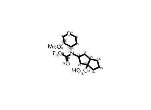 CO[C@@H]1COCC[C@@H]1N(C(=O)C(F)(F)F)C1CC2CCCC2(C(=O)O)C1